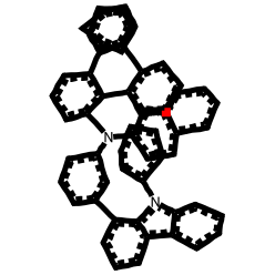 c1ccc(-c2ccccc2-c2c(-c3ccccc3)cccc2N(c2cccc(-c3cccc4c5ccccc5n(-c5ccccc5)c34)c2)c2ccc3ccccc3c2)cc1